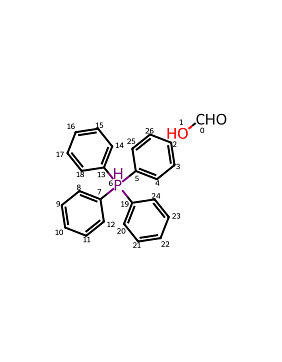 O=CO.c1ccc([PH](c2ccccc2)(c2ccccc2)c2ccccc2)cc1